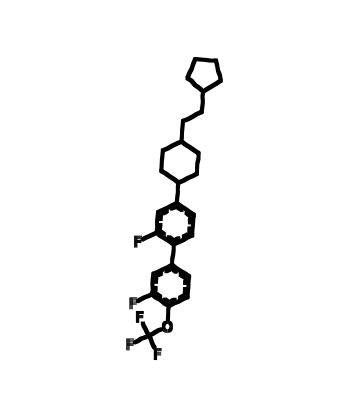 Fc1cc(-c2ccc(C3CCC(CCC4CCCC4)CC3)cc2F)ccc1OC(F)(F)F